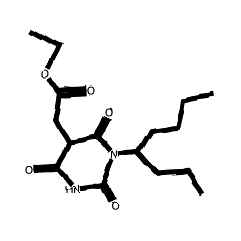 CCCCC(CCC)N1C(=O)NC(=O)C(CC(=O)OCC)C1=O